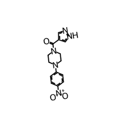 O=C(c1cn[nH]c1)N1CCN(c2ccc([N+](=O)[O-])cc2)CC1